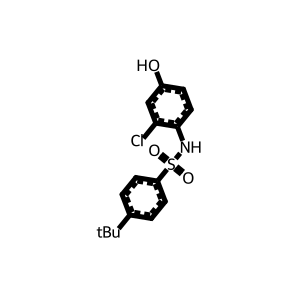 CC(C)(C)c1ccc(S(=O)(=O)Nc2ccc(O)cc2Cl)cc1